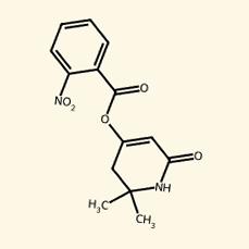 CC1(C)CC(OC(=O)c2ccccc2[N+](=O)[O-])=CC(=O)N1